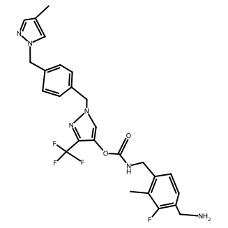 Cc1cnn(Cc2ccc(Cn3cc(OC(=O)NCc4ccc(CN)c(F)c4C)c(C(F)(F)F)n3)cc2)c1